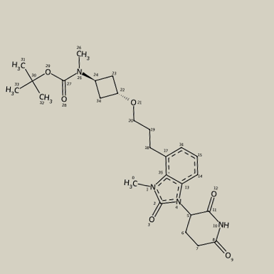 Cn1c(=O)n(C2CCC(=O)NC2=O)c2cccc(CCCO[C@H]3C[C@H](N(C)C(=O)OC(C)(C)C)C3)c21